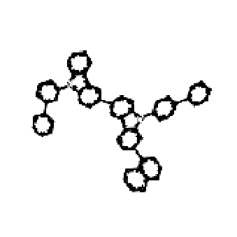 c1ccc(-c2ccc(-n3c4ccc(-c5ccc6c(c5)c5ccccc5n6-c5cccc(-c6ccccc6)c5)cc4c4ccc(-c5cccc6ccccc56)cc43)cc2)cc1